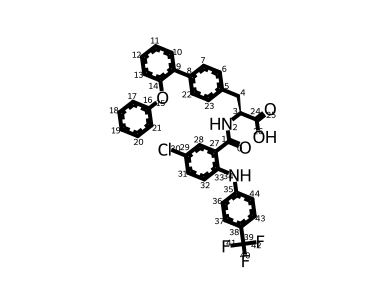 O=C(N[C@@H](Cc1ccc(-c2ccccc2Oc2ccccc2)cc1)C(=O)O)c1cc(Cl)ccc1Nc1ccc(C(F)(F)F)cc1